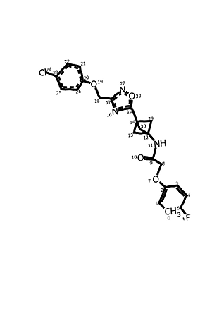 C/C=C(\C=C/CF)OCC(=O)NC12CC(c3nc(COc4ccc(Cl)cc4)no3)(C1)C2